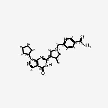 CC1CN(Cc2ccc(C(N)=O)cn2)CC1c1nc2c(cnn2C2CCCC2)c(=O)[nH]1